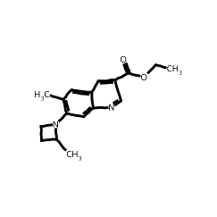 CCOC(=O)c1cnc2cc(N3CCC3C)c(C)cc2c1